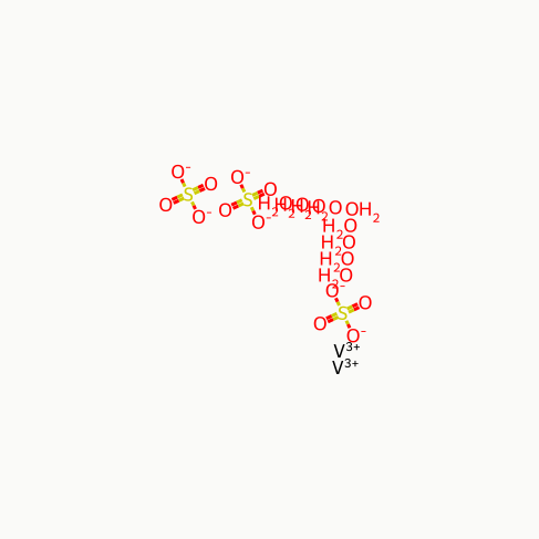 O.O.O.O.O.O.O.O.O.O=S(=O)([O-])[O-].O=S(=O)([O-])[O-].O=S(=O)([O-])[O-].[V+3].[V+3]